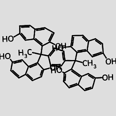 CC(c1ccc(C(C)(c2c(O)ccc3ccc(O)cc23)c2c(O)ccc3ccc(O)cc23)cc1)(c1c(O)ccc2ccc(O)cc12)c1c(O)ccc2ccc(O)cc12